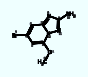 COc1cc(Br)cc2nc(N)nn12